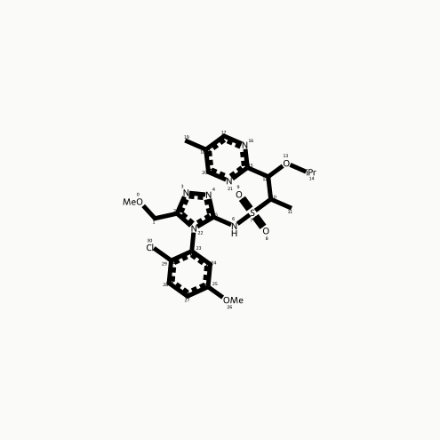 COCc1nnc(NS(=O)(=O)C(C)C(OC(C)C)c2ncc(C)cn2)n1-c1cc(OC)ccc1Cl